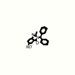 Cc1nc2ccc(N=O)cc2c(=O)n1C(c1ccccc1)c1ccccc1